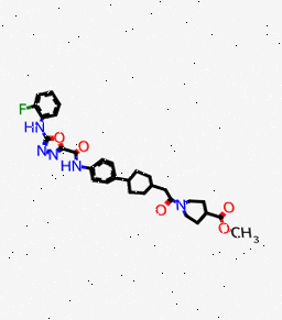 COC(=O)C1CCN(C(=O)CC2CCC(c3ccc(NC(=O)c4nnc(Nc5ccccc5F)o4)cc3)CC2)CC1